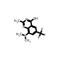 Cc1nc(S)c2cc(C(F)(F)F)cc(N(C)C)c2n1